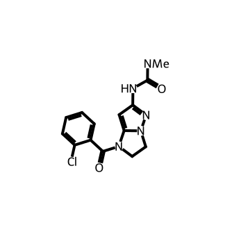 CNC(=O)Nc1cc2n(n1)CCN2C(=O)c1ccccc1Cl